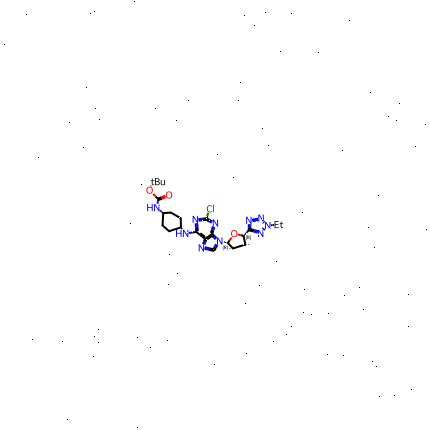 CCn1nnc([C@H]2[CH][CH][C@H](n3cnc4c(N[C@H]5CC[C@H](NC(=O)OC(C)(C)C)CC5)nc(Cl)nc43)O2)n1